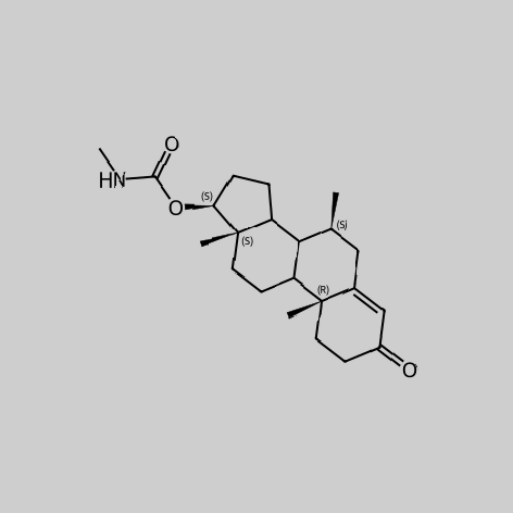 CNC(=O)O[C@H]1CCC2C3C(CC[C@@]21C)[C@@]1(C)CCC(=O)C=C1C[C@@H]3C